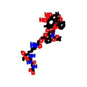 CCOC(=O)[C@H](CCCCNC(=O)COCC(=O)O[C@@H](C(=O)O[C@H]1C[C@@]2(O)[C@@H](OC(=O)c3ccccc3)[C@@H]3[C@]4(OC(C)=O)CO[C@@H]4C[C@H](O)[C@@]3(C)C(=O)[C@H](O)C(=C1C)C2(C)C)C(NC(=O)OC(C)(C)C)c1ccccc1)NC(=O)CNC(=O)CNC(=O)COC